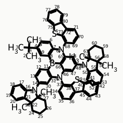 CC(C)(C)c1ccc2c(c1)B1c3ccc(N4c5ccccc5C5(C)CCCCC45C)cc3N(c3cccc4c3sc3ccccc34)c3cc(N4c5ccccc5C5(C)CCCCC45C)cc(c31)N2c1cccc2c1sc1ccccc12